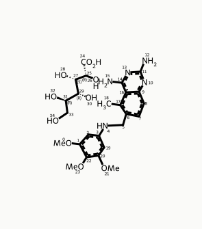 COc1cc(NCc2ccc3nc(N)nc(N)c3c2C)cc(OC)c1OC.O=C(O)[C@H](O)[C@@H](O)[C@H](O)[C@H](O)CO